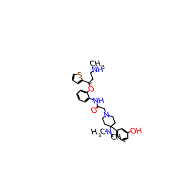 CNCC[C@@H](Oc1ccccc1NC(=O)CN1CCC(c2cccc(O)c2)(N(C)C)CC1)c1cccs1